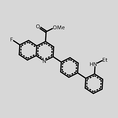 CCNc1ccccc1-c1ccc(-c2cc(C(=O)OC)c3cc(F)ccc3n2)cc1